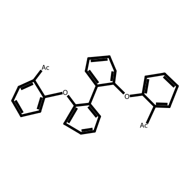 CC(=O)c1ccccc1Oc1ccccc1-c1ccccc1Oc1ccccc1C(C)=O